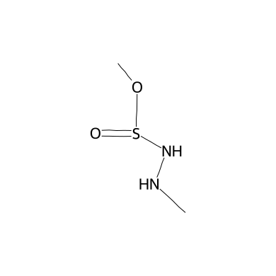 CNNS(=O)OC